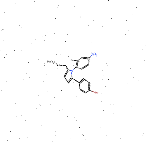 CCOC(=O)CCc1ccc(-c2ccc(Br)cc2)n1-c1ccc(N)cc1C